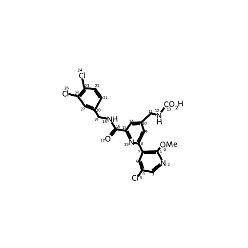 COc1ncc(Cl)cc1-c1cc(CNC(=O)O)cc(C(=O)NCc2ccc(Cl)c(Cl)c2)n1